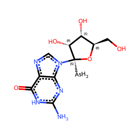 Nc1nc2c(ncn2[C@]2([AsH2])O[C@H](CO)[C@@H](O)[C@H]2O)c(=O)[nH]1